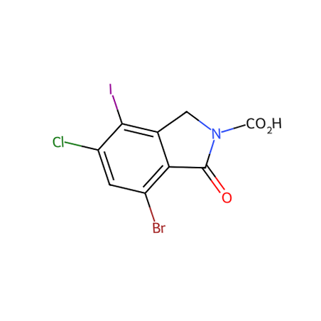 O=C(O)N1Cc2c(I)c(Cl)cc(Br)c2C1=O